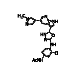 CC(=O)Nc1ccc(NC2=NNC(c3c[nH]c4ncc(-c5cnn(C)c5)cc34)O2)c(Cl)c1